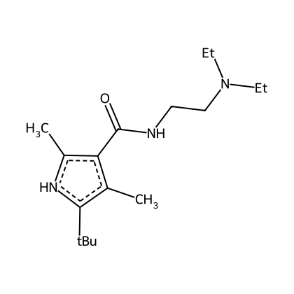 CCN(CC)CCNC(=O)c1c(C)[nH]c(C(C)(C)C)c1C